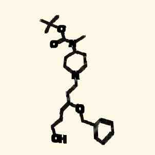 CN(C(=O)OC(C)(C)C)C1CCN(CCC(CCCO)OCc2ccccc2)CC1